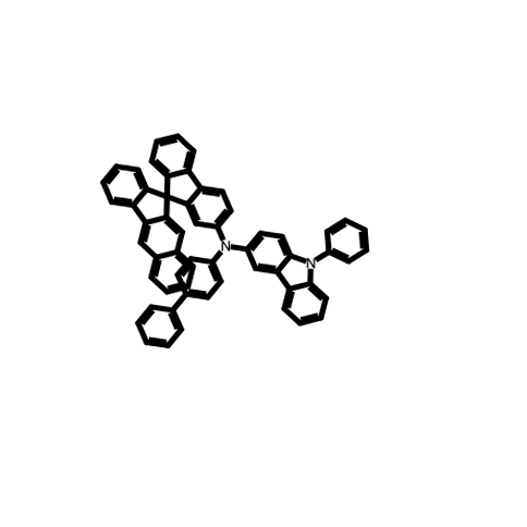 c1ccc(-c2ccc(N(c3ccc4c(c3)C3(c5ccccc5-4)c4ccccc4-c4cc5ccccc5cc43)c3ccc4c(c3)c3ccccc3n4-c3ccccc3)cc2)cc1